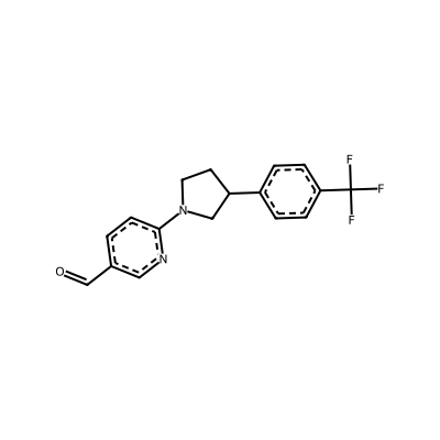 O=Cc1ccc(N2CCC(c3ccc(C(F)(F)F)cc3)C2)nc1